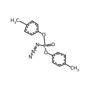 Cc1ccc(OP(=O)(N=[N+]=[N-])Oc2ccc(C)cc2)cc1